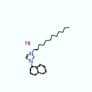 CCCCCCCCCCCCN1C=CN(c2cccc3ccccc23)C1.I